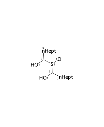 CCCCCCCC(O)[S+]([O-])C(O)CCCCCCC